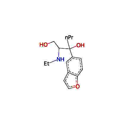 CCCC(O)(c1ccc2occc2c1)C(CO)NCC